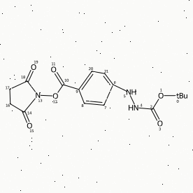 CC(C)(C)OC(=O)NNc1ccc(C(=O)ON2C(=O)CCC2=O)cc1